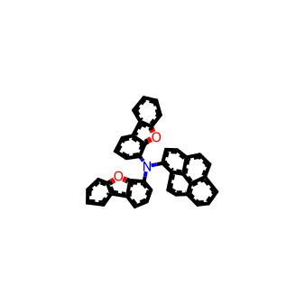 c1cc2ccc3ccc(N(c4cccc5c4oc4ccccc45)c4cccc5c4oc4ccccc45)c4ccc(c1)c2c34